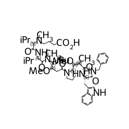 CC[C@H](C)[C@@H]([C@@H](CC(=O)N1CCC[C@H]1[C@H](OC)[C@@H](C)C(=O)N[C@@H](Cc1c[nH]c2ccccc12)C(=O)NCc1ccccc1)OC)N(C)C(=O)[C@@H](NC(=O)[C@H](C(C)C)N(C)CCCC(=O)O)C(C)C